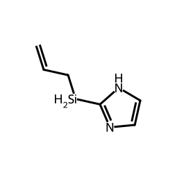 C=CC[SiH2]c1ncc[nH]1